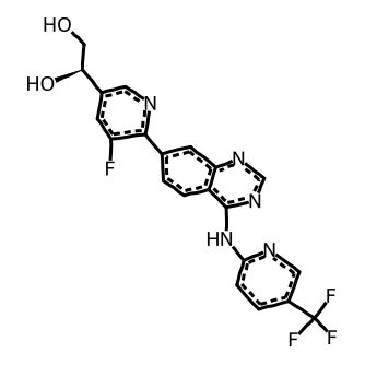 OC[C@H](O)c1cnc(-c2ccc3c(Nc4ccc(C(F)(F)F)cn4)ncnc3c2)c(F)c1